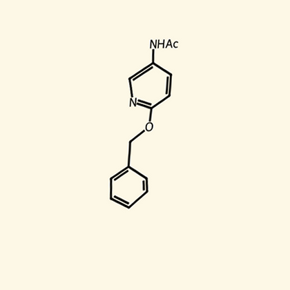 CC(=O)Nc1ccc(OCc2ccccc2)nc1